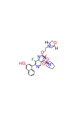 CC(C)(C)OC(=O)N1C2CCC1CN(c1nc(OCCN3C[C@@H]4C[C@H]3CO4)nc3c(F)c(-c4cc(O)cc5ccccc45)ncc13)C2